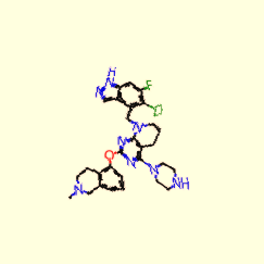 CN1CCc2c(cccc2Oc2nc(N3CCNCC3)c3c(n2)N(Cc2c(Cl)c(F)cc4[nH]ncc24)CCC3)C1